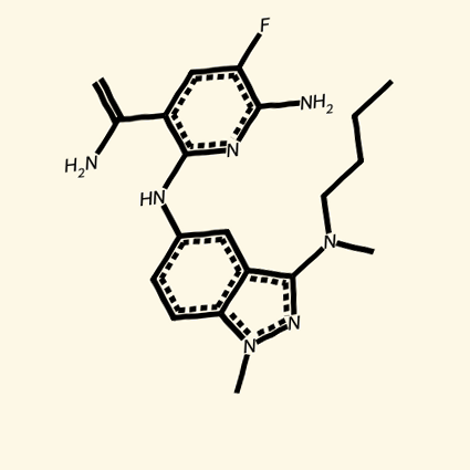 C=C(N)c1cc(F)c(N)nc1Nc1ccc2c(c1)c(N(C)CCCC)nn2C